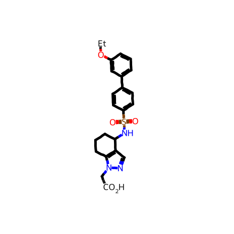 CCOc1cccc(-c2ccc(S(=O)(=O)NC3CCCc4c3cnn4CC(=O)O)cc2)c1